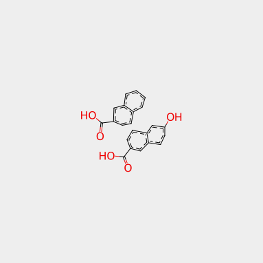 O=C(O)c1ccc2cc(O)ccc2c1.O=C(O)c1ccc2ccccc2c1